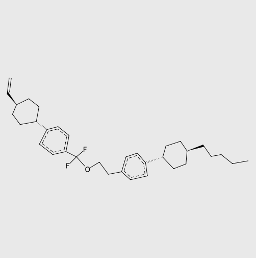 C=C[C@H]1CC[C@H](c2ccc(C(F)(F)OCCc3ccc([C@H]4CC[C@H](CCCCC)CC4)cc3)cc2)CC1